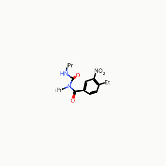 CCc1ccc(C(=O)N(C(=O)NC(C)C)C(C)C)cc1[N+](=O)[O-]